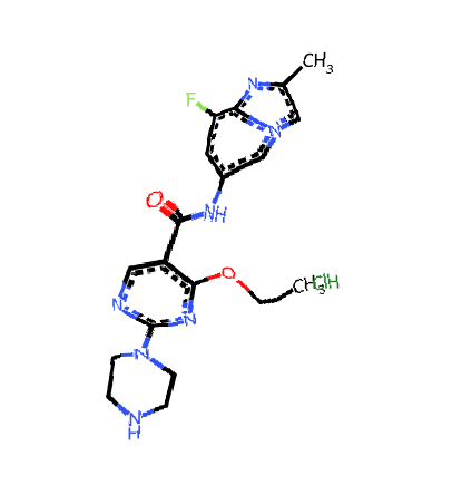 CCOc1nc(N2CCNCC2)ncc1C(=O)Nc1cc(F)c2nc(C)cn2c1.Cl